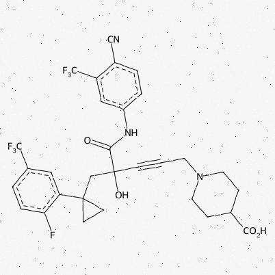 N#Cc1ccc(NC(=O)C(O)(C#CCN2CCC(C(=O)O)CC2)CC2(c3cc(C(F)(F)F)ccc3F)CC2)cc1C(F)(F)F